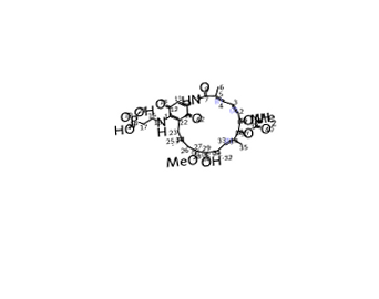 CO[C@H]1/C=C\C=C(/C)C(=O)NC2=CC(=O)C(NCCP(=O)(O)O)=C(C[C@@H](C)C[C@H](OC)[C@H](O)[C@@H](C)/C=C(\C)[C@@H]1OC(N)=O)C2=O